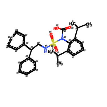 CC(C)c1cccc(C(C)C)c1N(C(=O)O)S(=O)(=O)NCC(c1ccccc1)c1ccccc1